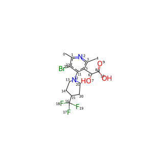 Cc1nc(C)c(C(O)C(=O)O)c(N2CCC(C(F)(F)F)CC2)c1Br